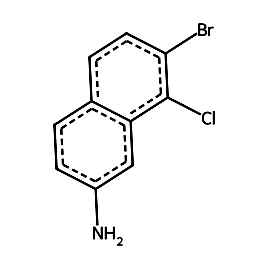 Nc1ccc2ccc(Br)c(Cl)c2c1